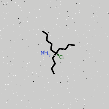 CCCCCC(Cl)(CCCC)CCCC.N